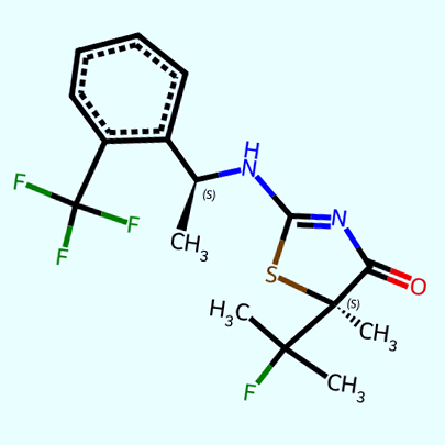 C[C@H](NC1=NC(=O)[C@@](C)(C(C)(C)F)S1)c1ccccc1C(F)(F)F